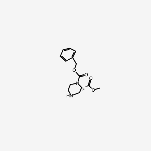 COC(=O)[C@@H]1CNCCN1C(=O)OCc1ccccc1